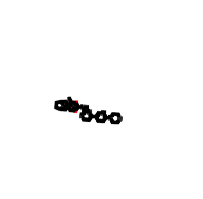 Cc1cc(Nc2nccc(-c3ccc(N4CCOCC4)nc3)n2)ccc1N1C2CCC1CC(N(C)C)C2